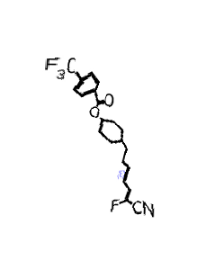 N#CC(F)=C/C=C/CCC1CCC(OC(=O)c2ccc(C(F)(F)F)cc2)CC1